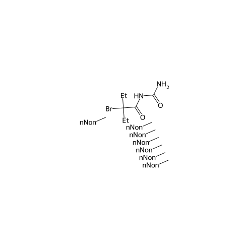 CCC(Br)(CC)C(=O)NC(N)=O.CCCCCCCCCC.CCCCCCCCCC.CCCCCCCCCC.CCCCCCCCCC.CCCCCCCCCC.CCCCCCCCCC.CCCCCCCCCC